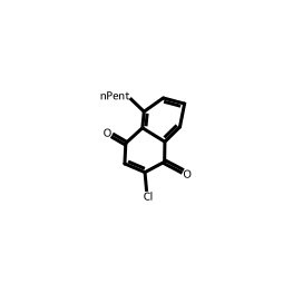 CCCCCc1cccc2c1C(=O)C=C(Cl)C2=O